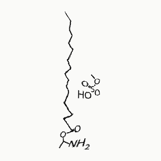 CCCCCCCCCCCCCCCC(=O)OC(C)N.COS(=O)(=O)O